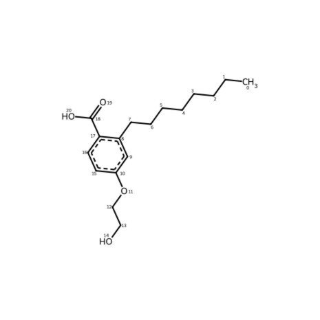 CCCCCCCCc1cc(OCCO)ccc1C(=O)O